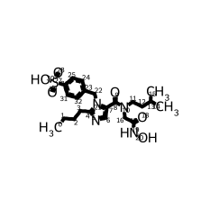 CCCCc1ncc(C(=O)N(CCC(C)C)CC(=O)NO)n1Cc1ccc(S(=O)(=O)O)cc1